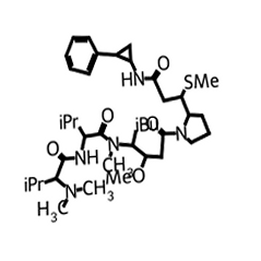 CCC(C)C(C(CC(=O)N1CCCC1C(CC(=O)NC1CC1c1ccccc1)SC)OC)N(C)C(=O)C(NC(=O)C(C(C)C)N(C)C)C(C)C